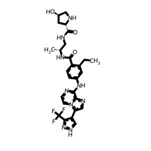 CCc1cc(Nc2nccn3c(-c4c[nH]nc4C(F)(F)F)cnc23)ccc1C(=O)N[C@H](C)CNC(=O)[C@@H]1C[C@@H](O)CN1